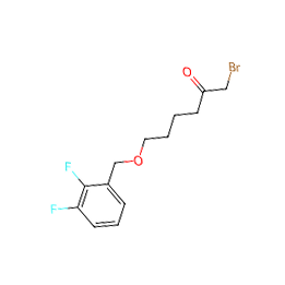 O=C(CBr)CCCCOCc1cccc(F)c1F